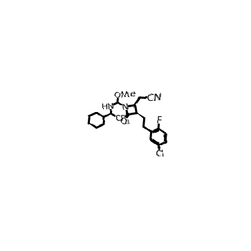 COC(NC(C1CCCCC1)C(F)(F)F)N1C(=O)[C@H](CCc2cc(Cl)ccc2F)C1CC#N